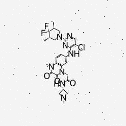 C[C@@H]1CN(c2ncc(Cl)c(Nc3ccc4c(c3)n(CC(=O)NC3CN(C)C3)c(=O)c(=O)n4C)n2)C[C@H](C)C1(F)F